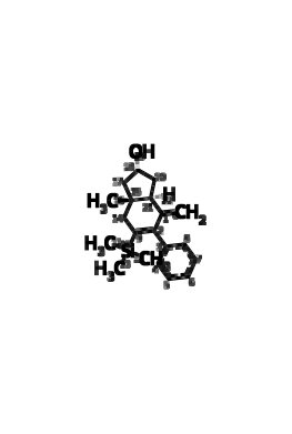 C=C1C(c2ccccc2)=C([Si](C)(C)C)C[C@]2(C)C[C@H](O)C[C@@H]12